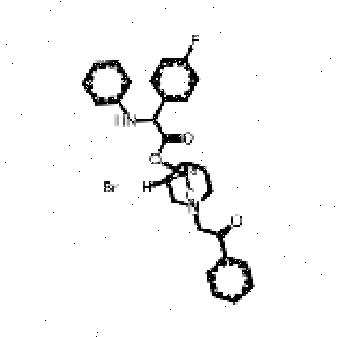 O=C(C[N+]12CCC(CC1)[C@@H](OC(=O)C(Nc1ccccc1)c1ccc(F)cc1)C2)c1ccccc1.[Br-]